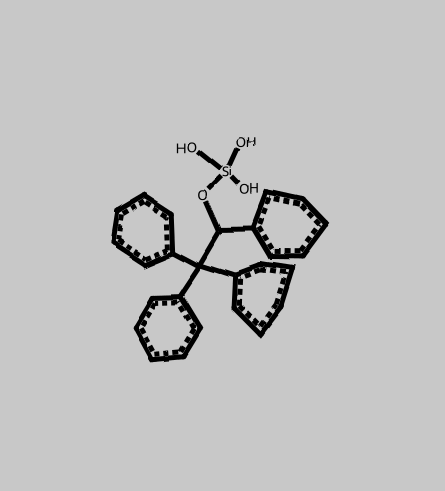 O[Si](O)(O)OC(c1ccccc1)C(c1ccccc1)(c1ccccc1)c1ccccc1